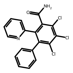 NC(=O)c1c(Cl)c(Cl)c(Cl)c(-c2ccccc2)c1-c1ccccn1